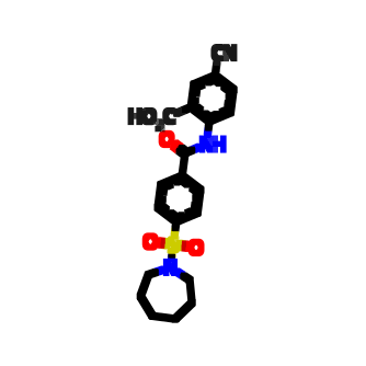 N#Cc1ccc(NC(=O)c2ccc(S(=O)(=O)N3CCCCCC3)cc2)c(C(=O)O)c1